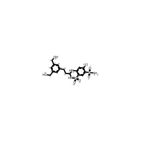 NS(=O)(=O)c1cc2c(cc1Cl)NC(CCc1cc(CO)cc(CO)c1)NS2(=O)=O